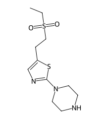 CCS(=O)(=O)CCc1cnc(N2CCNCC2)s1